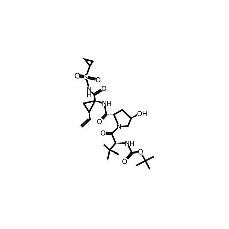 C=C[C@H]1C[C@]1(NC(=O)[C@@H]1C[C@@H](O)CN1C(=O)[C@@H](NC(=O)OC(C)(C)C)C(C)(C)C)C(=O)NS(=O)(=O)C1CC1